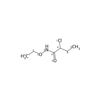 CCONC(=O)C(Cl)CC